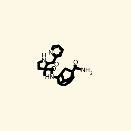 CC1(C(=O)NC2C3CC4CC2CC(C(N)=O)(C4)C3)CCNC1C(=O)c1ccccn1